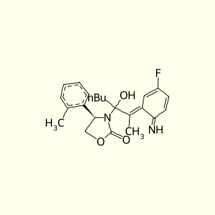 CCCCC(O)(/C(C)=C1\C=C(F)C=CC1=N)N1C(=O)OC[C@H]1c1ccccc1C